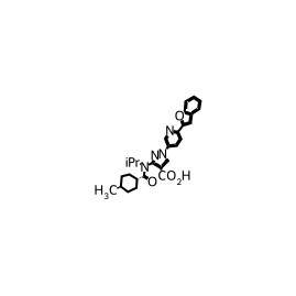 CC(C)N(c1nn(-c2ccc(-c3cc4ccccc4o3)nc2)cc1C(=O)O)C(=O)[C@H]1CC[C@H](C)CC1